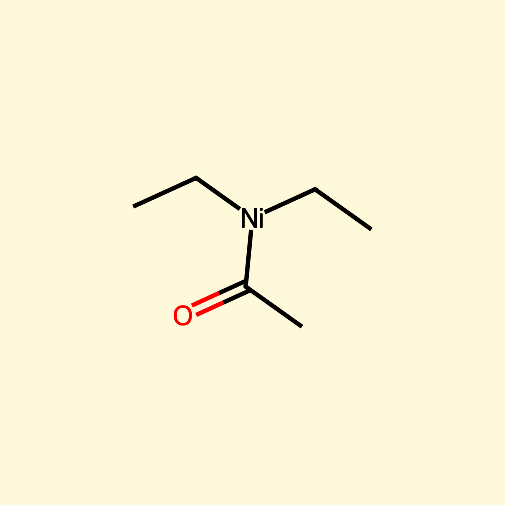 C[CH2][Ni]([CH2]C)[C](C)=O